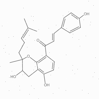 CC(C)=CCCC1(C)Oc2c(C(=O)C=Cc3ccc(O)cc3)ccc(O)c2CC1O